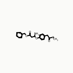 COC(=O)Cc1ccc(OC(N)CC(=O)OCc2ccccc2)cc1